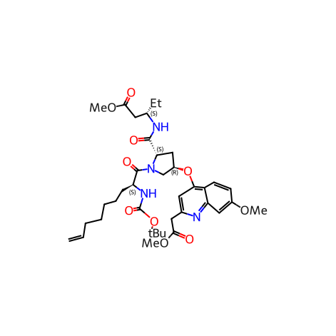 C=CCCCCC[C@H](NC(=O)OC(C)(C)C)C(=O)N1C[C@H](Oc2cc(CC(=O)OC)nc3cc(OC)ccc23)C[C@H]1C(=O)N[C@@H](CC)CC(=O)OC